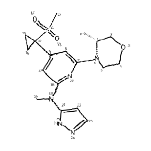 C[C@@H]1COCCN1c1cc(C2(S(C)(=O)=O)CC2)cc(N(C)c2ccn[nH]2)n1